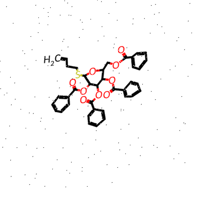 C=CCCSC1OC(COC(=O)c2ccccc2)C(OC(=O)c2ccccc2)C(OC(=O)c2ccccc2)C1OC(=O)c1ccccc1